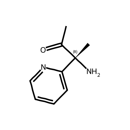 CC(=O)[C@](C)(N)c1ccccn1